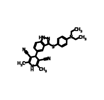 CCN(CC)c1ccc(Sc2n[nH]c3ccc(C4C(C#N)=C(C)NC(C)=C4C#N)cc23)cc1